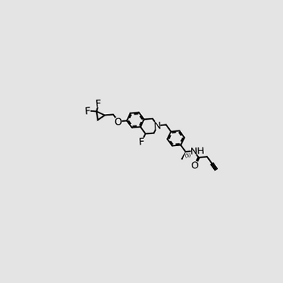 C#CCC(=O)N[C@@H](C)c1ccc(CN2Cc3ccc(OCC4CC4(F)F)cc3C(F)C2)cc1